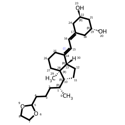 C[C@H](CCCC1OCCO1)[C@H]1CC[C@H]2/C(=C/C=C3C[C@@H](O)C[C@H](O)C3)CCC[C@]12C